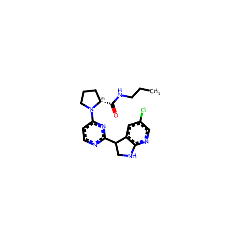 CCCNC(=O)[C@H]1CCCN1c1ccnc(C2CNc3ncc(Cl)cc32)n1